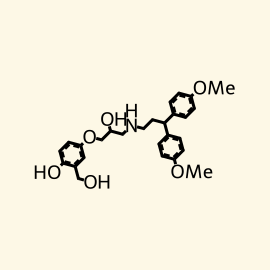 COc1ccc(C(CCNCC(O)COc2ccc(O)c(CO)c2)c2ccc(OC)cc2)cc1